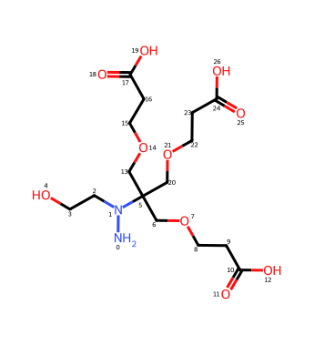 NN(CCO)C(COCCC(=O)O)(COCCC(=O)O)COCCC(=O)O